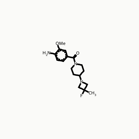 COc1cc(C(=O)N2CCC(N3CC(C)(F)C3)CC2)ccc1N